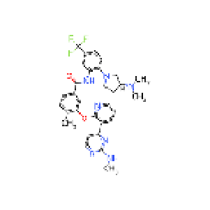 CNc1nccc(-c2cccnc2Oc2cc(C(=O)Nc3cc(C(F)(F)F)ccc3N3CC[C@H](N(C)C)C3)ccc2C)n1